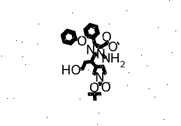 COC(=O)c1c(-c2ccccc2Oc2ccccc2)nc(C(CCO)C2CCN(C(=O)OC(C)(C)C)C2)n1N